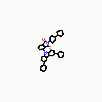 O=C1c2cccc(-n3c4ccc(-c5ccccc5)cc4c4cc(-c5ccccc5)ccc43)c2C(=O)N1c1ccc(-c2ccccc2)cc1